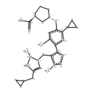 Cc1cc(O[C@H]2CCC[C@H](C(=O)O)C2)c(C2CC2)nc1-c1nnn(C)c1CN1C=C(CC2CC2)NN1C